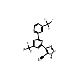 N#Cc1[nH]nnc1-c1cc(-c2cc(C(F)(F)F)ccn2)cc(C(F)(F)F)c1